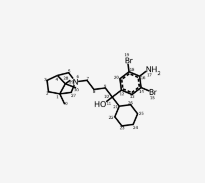 CC12CCC(CN(CCCC(O)(c3cc(Br)c(N)c(Br)c3)C3CCCCC3)C1)C2(C)C